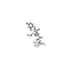 BCc1nc(NC(=O)OC(C)(C)C)sc1C(=O)NCc1ccc(F)cc1Cl